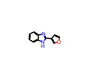 [c]1occc1-c1nc2ccccc2[nH]1